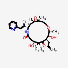 C=CC[C@H]1C(=O)C(C)(C)[C@@H](O)CC(=O)N[C@H](C(C)=Cc2ccccn2)C[C@@H]2O[C@]2(C)CCO[C@H](C)[C@H]1O